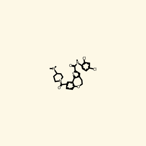 CN(C(=O)c1cc2c(s1)-c1cc(C(=O)N3CCC(N(C)C)CC3)ccc1OCC2)c1ccc(Cl)cc1Cl